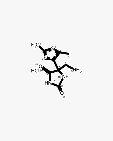 Cc1sc(C(F)(F)F)nc1C1(CN)NC(=O)NC1=O.Cl